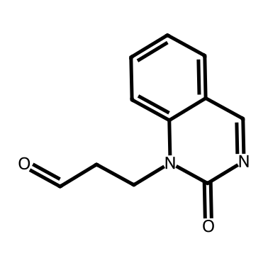 O=CCCn1c(=O)ncc2ccccc21